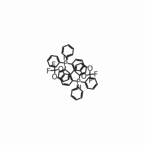 FC1(F)Oc2ccc([PH](c3ccccc3)(c3ccccc3)c3ccccc3)c(-c3c([PH](c4ccccc4)(c4ccccc4)c4ccccc4)ccc4c3OC(F)(F)O4)c2O1